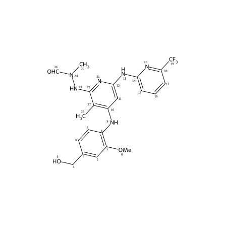 COc1cc(CO)ccc1Nc1cc(Nc2cccc(C(F)(F)F)n2)nc(NN(C)C=O)c1C